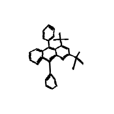 CC(C)(C)c1cc(C(C)(C)C)c2c(-c3ccccc3)c3ccccc3c(-c3ccccc3)c2c1